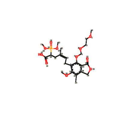 COCCOCOc1c(CC=C(C)CC(C(=O)O)P(=O)(OC)OC)c(OC)c(C)c2c1C(=O)OC2